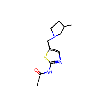 CC(=O)Nc1ncc(CN2CCC(C)C2)s1